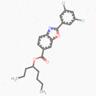 CCCCC(CCC)OC(=O)c1ccc2nc(-c3cc(Cl)cc(Cl)c3)oc2c1